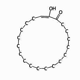 O=C1CCCCCCCCCCCCCCCCCC=C1O